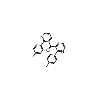 Cc1ccc(-c2ncccc2C(=O)c2cccnc2-c2ccc(C)cc2)cc1